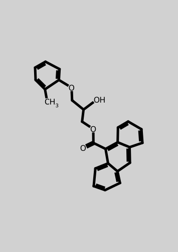 Cc1ccccc1OCC(O)COC(=O)c1c2ccccc2cc2ccccc12